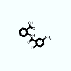 Nc1ccc(Cl)c(C(=O)Nc2ccccc2C(=O)O)c1